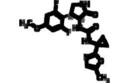 COc1cc(F)c([C@@H]2CNC(=O)[C@H]2NC(=O)NC2(c3ncc(C)o3)CC2)c(F)c1